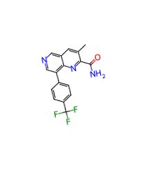 Cc1cc2cncc(-c3ccc(C(F)(F)F)cc3)c2nc1C(N)=O